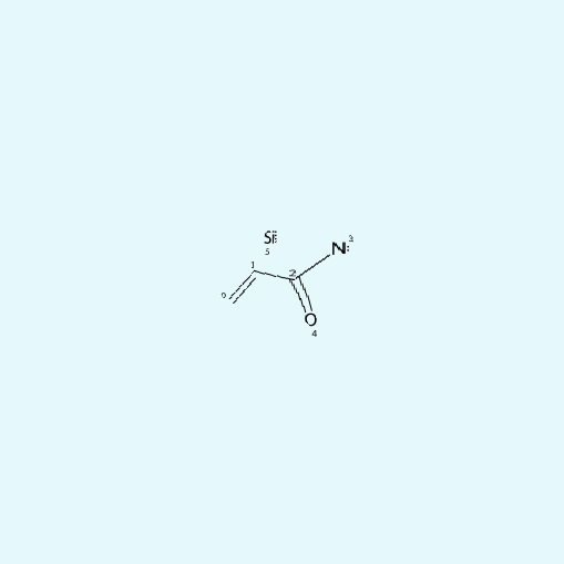 C=CC([N])=O.[Si]